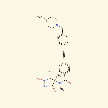 COC1CCN(Cc2ccc(C#Cc3ccc(C(=O)N(C)[C@@](C)(C(N)=O)C(=O)NO)cc3)cc2)CC1